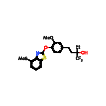 CCC(O)(CCc1ccc(Oc2nc3c(SC)cccc3s2)c(OC)c1)C(F)(F)F